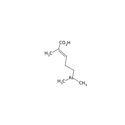 CC(=CCC[As](C)C)C(=O)O